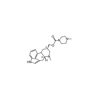 CN1CCN(C(=O)OC[C@@H]2CC3c4cccc5[nH]cc(c45)C[C@H]3N(C)C2)CC1